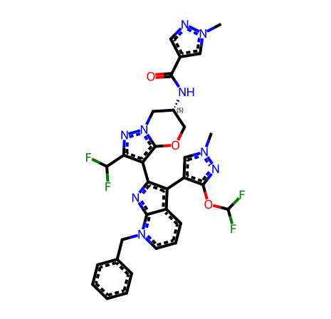 Cn1cc(C(=O)N[C@@H]2COc3c(-c4nc5n(Cc6ccccc6)cccc-5c4-c4cn(C)nc4OC(F)F)c(C(F)F)nn3C2)cn1